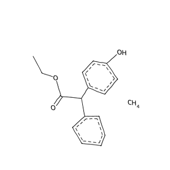 C.CCOC(=O)C(c1ccccc1)c1ccc(O)cc1